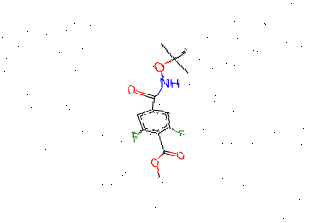 COC(=O)c1c(F)cc(C(=O)NOC(C)(C)C)cc1F